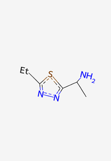 CCc1nnc(C(C)N)s1